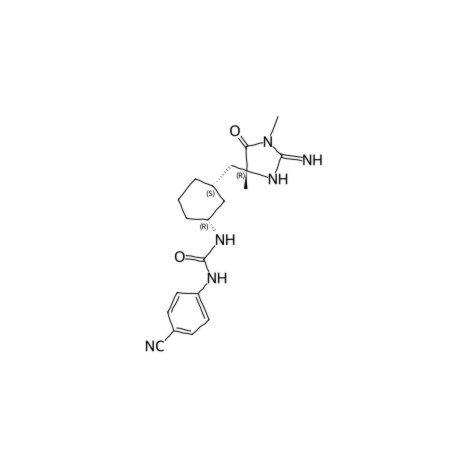 CN1C(=N)N[C@](C)(C[C@H]2CCC[C@@H](NC(=O)Nc3ccc(C#N)cc3)C2)C1=O